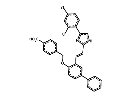 O=C(O)c1ccc(COc2ccc(-c3ccccc3)cc2C=Cc2nc(-c3ccc(Cl)cc3Cl)c[nH]2)cc1